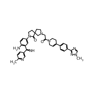 Cc1ccc(C(=N)c2cc(N3CCC4(CCN(CC(=O)N5CC=C(c6ccc(-c7ncn(C)n7)cc6)CC5)C4)C3=O)ccc2N)cn1